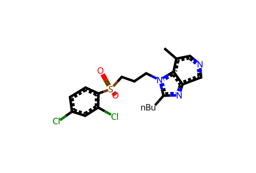 CCCCc1nc2cncc(C)c2n1CCCS(=O)(=O)c1ccc(Cl)cc1Cl